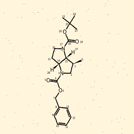 C[C@H]1CN(C(=O)OCc2ccccc2)[C@@H]2CCN(C(=O)OC(C)(C)C)[C@@H]21